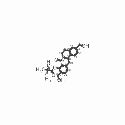 CC(C)(C)C(=O)Oc1cc(CC2c3ccc(CO)cc3CCN2C=O)ccc1CO